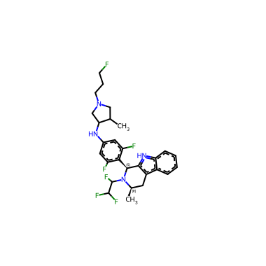 CC1CN(CCCF)CC1Nc1cc(F)c([C@H]2c3[nH]c4ccccc4c3C[C@@H](C)N2C(F)C(F)F)c(F)c1